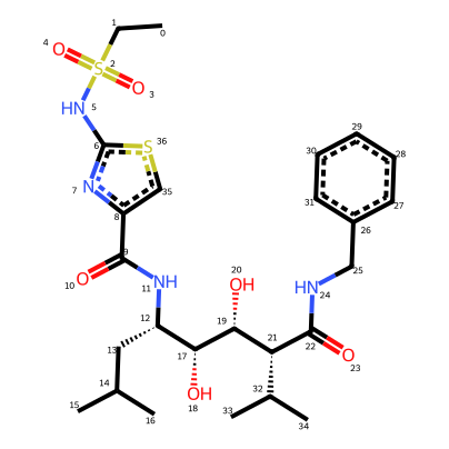 CCS(=O)(=O)Nc1nc(C(=O)N[C@@H](CC(C)C)[C@@H](O)[C@H](O)[C@H](C(=O)NCc2ccccc2)C(C)C)cs1